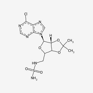 CC1(C)OC2C(CNS(N)(=O)=O)O[C@@H](n3cnc4c(Cl)ncnc43)[C@@H]2O1